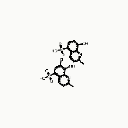 Cc1ccc2c(S(=O)(=O)O)cc(Cl)c(O)c2n1.Cc1ccc2c(S(=O)(=O)O)ccc(O)c2n1